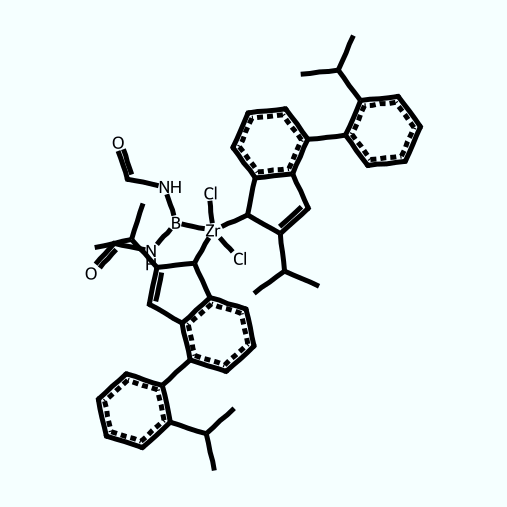 CC(C)C1=Cc2c(-c3ccccc3C(C)C)cccc2[CH]1[Zr]([Cl])([Cl])([B](NC=O)NC=O)[CH]1C(C(C)C)=Cc2c(-c3ccccc3C(C)C)cccc21